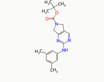 Cc1cc(C)cc(Nc2ncc3c(n2)CN(C(=O)OC(C)(C)C)C3)c1